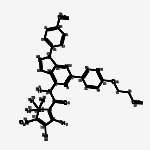 [2H]C1=C(C(=O)N([2H])c2nc(-c3ccc(OCCOC)nc3)nc3c2cnn3-c2ccc(OC)cc2)[SH]([2H])([2H])([2H])C([N+](=O)[O-])=C1[2H]